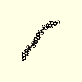 C=C1C=C2CC(C)C3C(C(C)CC4(C)C(OC(=O)CCC(=O)OC5CCC6C7CCc8cc(OC(=O)CCC(=O)OC9CCC%10C%11C(C)CC%12=CC(=O)CCC%12C%11C(C)CC9%10C)ccc8C7CCC56C)CCC34)C2CC1